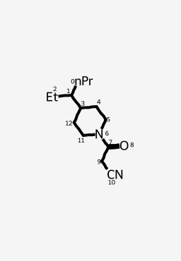 CCCC(CC)C1CCN(C(=O)CC#N)CC1